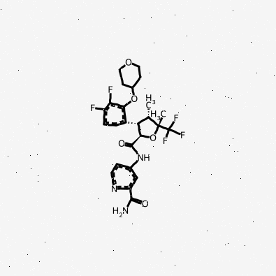 C[C@H]1[C@@H](c2ccc(F)c(F)c2OC2CCOCC2)[C@H](C(=O)Nc2ccnc(C(N)=O)c2)O[C@@]1(C)C(F)(F)F